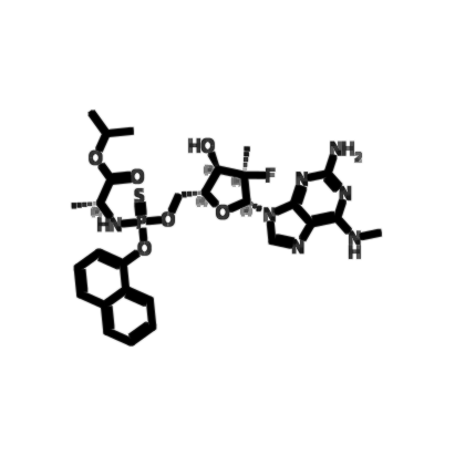 CNc1nc(N)nc2c1ncn2[C@@H]1O[C@H](COP(=S)(N[C@H](C)C(=O)OC(C)C)Oc2cccc3ccccc23)[C@@H](O)[C@@]1(C)F